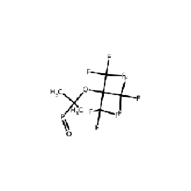 CC(C)(OC(C(F)(F)F)(C(F)(F)F)C(F)(F)F)P=O